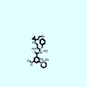 CCNc1cc(C(=O)N[C@@H](Cc2ccccc2)[C@H](O)CNC2(CCC(C)C)CC2)cc(N2CCCCS2(O)O)c1.Cl